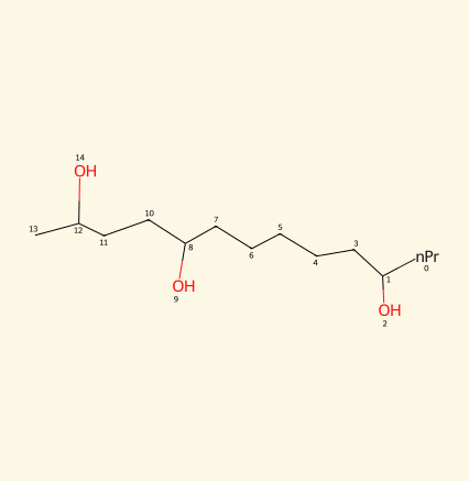 CCCC(O)CCCCCC(O)CCC(C)O